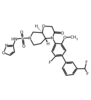 COc1cc(-c2cccc(C(F)F)c2)c(F)cc1N1C(=O)CO[C@@H]2CN(S(=O)(=O)Nc3ccon3)CC[C@H]21